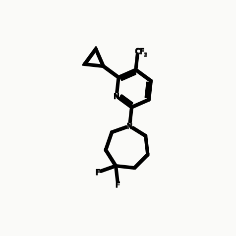 FC1(F)CCCN(c2ccc(C(F)(F)F)c(C3CC3)n2)CC1